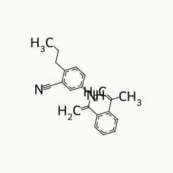 C=C(C)c1ccccc1C(=C)Nc1ccc(CCC)c(C#N)c1